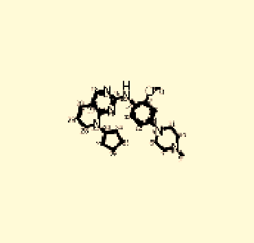 COc1cc(N2CCN(C)CC2)ccc1Nc1ncc2c(n1)N(C1CCCC1)CC=C2